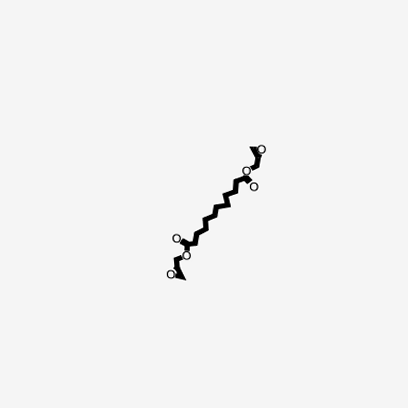 O=C(CCCCCCCCCCC(=O)OCC1CO1)OCC1CO1